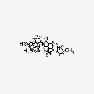 CC1CCCN(Cc2cc3c(c(C(F)(F)F)c2)CN(c2cccc(C4(c5nncn5C)CC(O)C4)c2)C3=O)C1